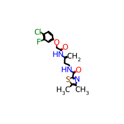 C=C(CCNC(=O)c1nc(C)c(C)s1)NC(=O)COc1ccc(Cl)c(F)c1